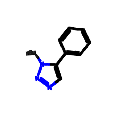 CCCCn1nncc1-c1ccccc1